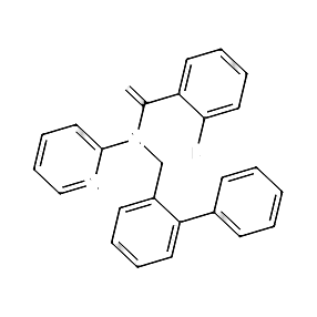 O=C(c1ccccc1Br)N(Cc1ccccc1-c1ccccc1)c1ccccn1